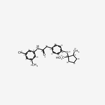 Cc1cc(Cl)cc(NC(=O)Cc2ccc(OC3(C(=O)O)CCCC3C)cc2)c1